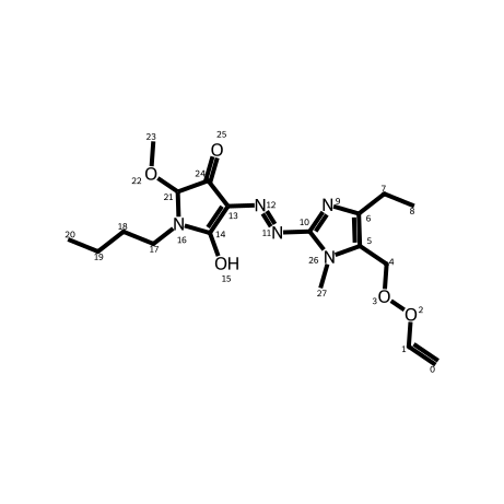 C=COOCc1c(CC)nc(N=NC2=C(O)N(CCCC)C(OC)C2=O)n1C